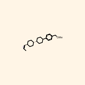 C/C=C\[C@H]1CC[C@H](C2CCC(c3ccc(COC)cc3)CC2)CC1